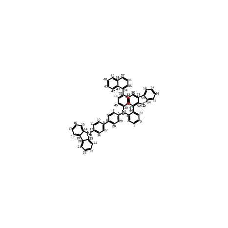 c1ccc(N(c2ccc(-c3ccc(-n4c5ccccc5c5ccccc54)cc3)cc2)c2ccc(-c3cccc4ccccc34)cc2)c(-c2cccc3c2sc2ccccc23)c1